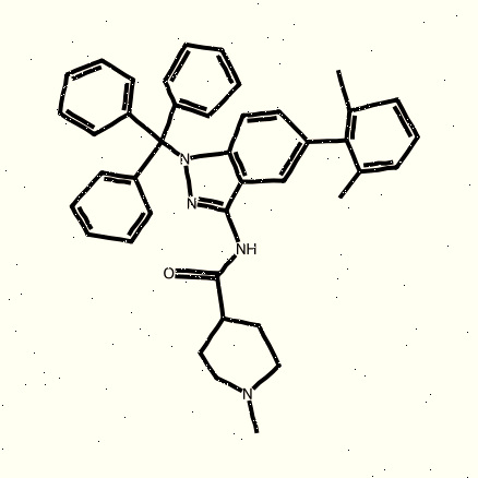 Cc1cccc(C)c1-c1ccc2c(c1)c(NC(=O)C1CCN(C)CC1)nn2C(c1ccccc1)(c1ccccc1)c1ccccc1